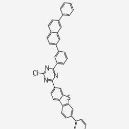 Clc1nc(-c2cccc(-c3ccc4ccc(-c5ccccc5)cc4c3)c2)nc(-c2ccc3c(c2)sc2cc(-c4ccccc4)ccc23)n1